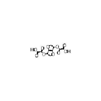 O=C(O)C(=O)O[C@H]1COC2C1OC[C@H]2OC(=O)C(=O)O